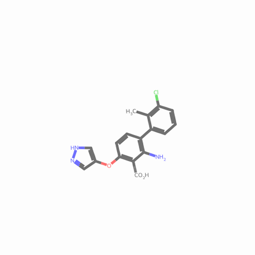 Cc1c(Cl)cccc1-c1ccc(Oc2cn[nH]c2)c(C(=O)O)c1N